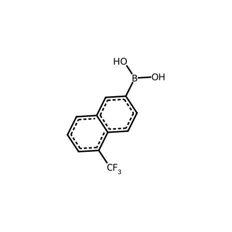 OB(O)c1ccc2c(C(F)(F)F)cccc2c1